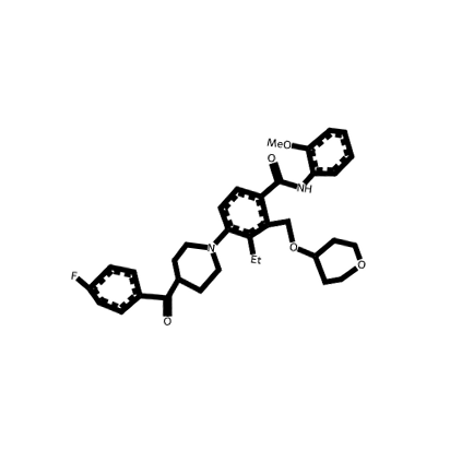 CCc1c(N2CCC(C(=O)c3ccc(F)cc3)CC2)ccc(C(=O)Nc2ccccc2OC)c1COC1CCOCC1